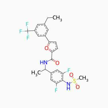 CCc1cc(-c2ccc(C(=O)NC(C)c3cc(F)c(NS(C)(=O)=O)c(F)c3)o2)cc(C(F)(F)F)c1